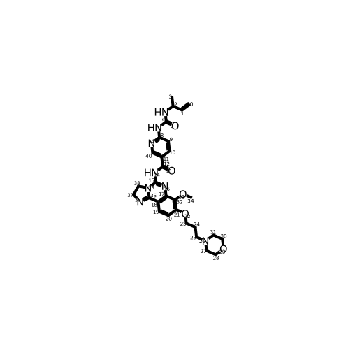 C=CC(C)NC(=O)Nc1ccc(C(=O)NC2=Nc3c(ccc(OCCCN4CCOCC4)c3OC)C3=NCCN23)cn1